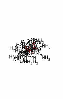 CC(C)C[C@H](NC(=O)[C@H](C)NC(=O)[C@H](CCC(N)=O)NC(=O)[C@@H](NC(=O)[C@H](CCC(=O)O)NC(=O)[C@H](CC(=O)O)NC(=O)[C@H](C)NC(=O)[C@H](CCCCN)NC(=O)[C@H](CCCCN)NC(=O)[C@@H](N)CCCCN)[C@@H](C)O)C(=O)N1CCC[C@H]1C(=O)N[C@@H](CCC(N)=O)C(=O)N[C@@H](CCCNC(=N)N)C(=O)N[C@@H](CCC(N)=O)C(=O)N[C@@H](CCCCN)C(=O)O